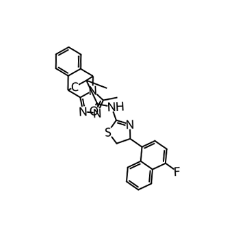 Cc1nnc2n1C1c3ccccc3C2CC1(C)C(=O)NC1=NC(c2ccc(F)c3ccccc23)CS1